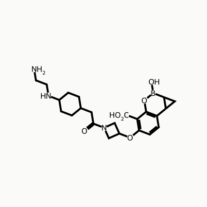 NCCNC1CCC(CC(=O)N2CC(Oc3ccc4c(c3C(=O)O)OB(O)C3CC43)C2)CC1